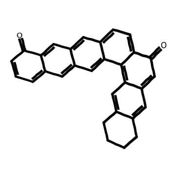 O=C1C=CC=c2cc3cc4c5c(ccc4cc3cc21)C(=O)C=c1cc2c(cc1=5)CCCC2